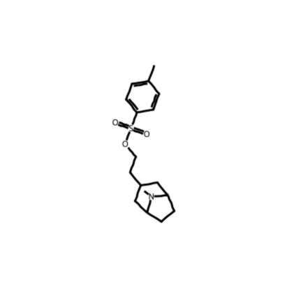 Cc1ccc(S(=O)(=O)OCCC2CC3CCC(C2)N3C)cc1